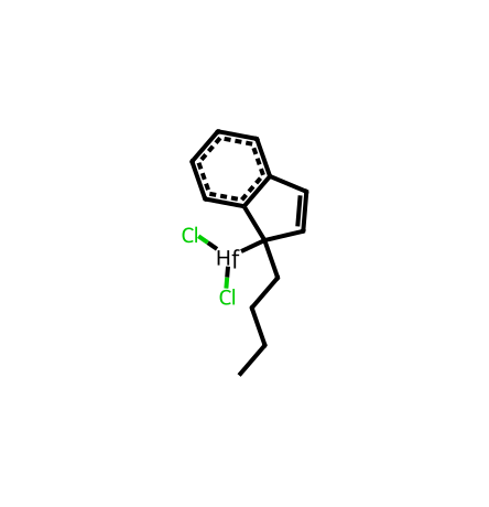 CCCC[C]1([Hf]([Cl])[Cl])C=Cc2ccccc21